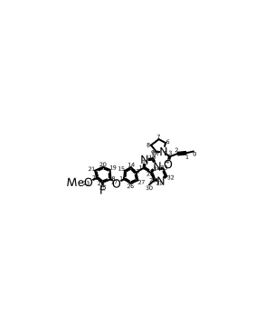 CC#CC(=O)N1CCC[C@H]1c1nc(-c2ccc(Oc3cccc(OC)c3F)cc2)c2c(C)nccn12